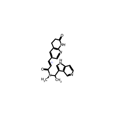 CC(c1c[nH]c2ccncc12)N(C)C(=O)/C=C/c1cnc2c(c1)CCC(=O)N2